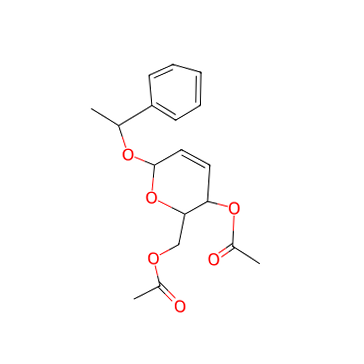 CC(=O)OCC1OC(OC(C)c2ccccc2)C=CC1OC(C)=O